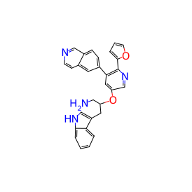 NCC(Cc1c[nH]c2ccccc12)Oc1cnc(-c2ccco2)c(-c2ccc3cnccc3c2)c1